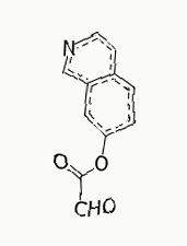 O=CC(=O)Oc1ccc2ccncc2c1